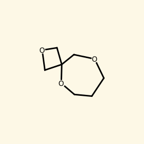 C1COCC2(COC2)OC1